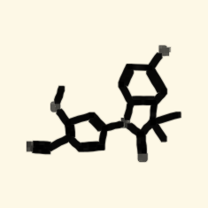 COc1cc(N2C(=O)C(C)(C)c3cc(Br)ccc32)ccc1C#N